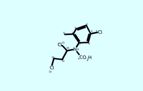 Cc1ccc(Cl)cc1N(C(=O)O)C(Cl)CCCl